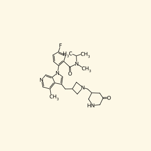 Cc1cncc2c1c(CC1CN(CC3CNCC(=O)C3)C1)cn2-c1ccc(F)cc1C(=O)N(C)C(C)C